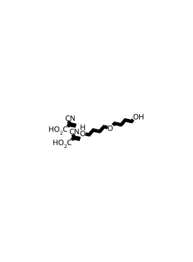 C=C(C#N)C(=O)O.C=C(C#N)C(=O)O.OCCCCOCCCCO